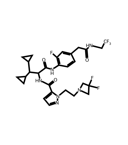 O=C(Cc1ccc(NC(=O)C(NC(=O)c2ccnn2CCN2CC(F)(F)C2)C(C2CC2)C2CC2)c(F)c1)NCC(F)(F)F